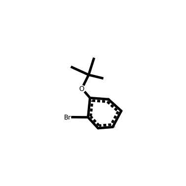 CC(C)(C)Oc1cc[c]cc1Br